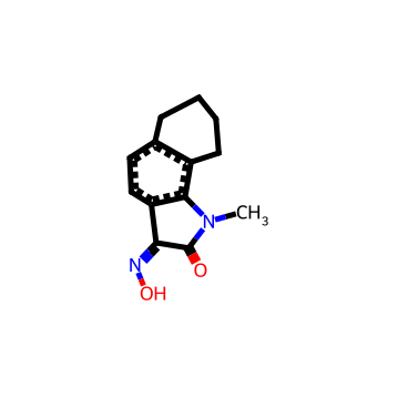 CN1C(=O)C(=NO)c2ccc3c(c21)CCCC3